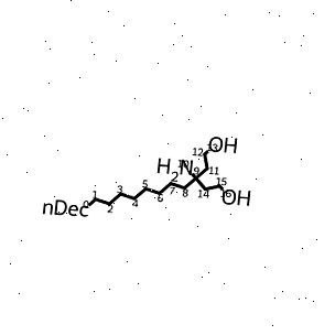 CCCCCCCCCCCCCCCCCCC(N)(CCO)CCO